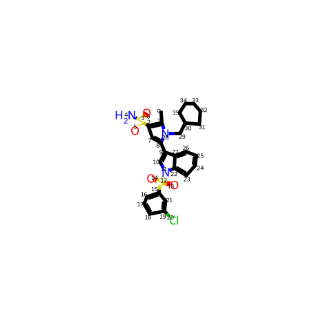 Cc1c(S(N)(=O)=O)cc(-c2cn(S(=O)(=O)c3cccc(Cl)c3)c3ccccc23)n1CC1CCCCC1